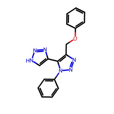 c1ccc(OCc2nnn(-c3ccccc3)c2-c2c[nH]nn2)cc1